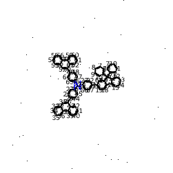 c1ccc(C2(c3ccccc3)c3ccccc3-c3ccc(-c4ccc(N(c5ccc(-c6cc7ccccc7c7ccccc67)cc5)c5ccc(-c6cc7ccccc7c7ccccc67)cc5)cc4)cc32)cc1